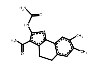 Cc1cc2c(cc1C)-c1sc(NC(N)=O)c(C(N)=O)c1CC2